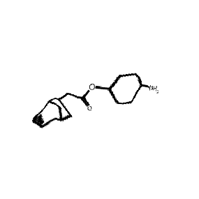 NC1CCC(OC(=O)CC2CC3C=CC2C3)CC1